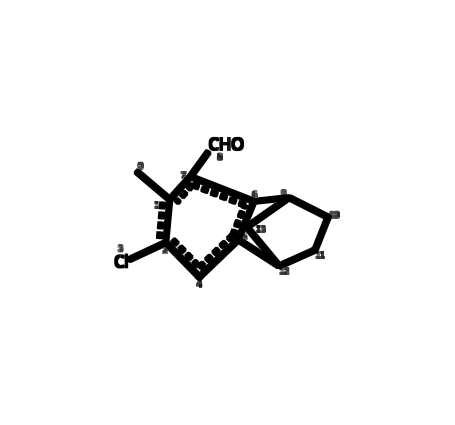 Cc1c(Cl)cc2c(c1C=O)C1CCC2C1